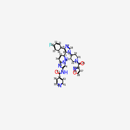 O=C(Nc1cn2nc(-c3c(C4C=CC(F)=CC4)ncn3C3CCN(C(=O)c4ccon4)CC3)ccc2n1)c1ccncc1